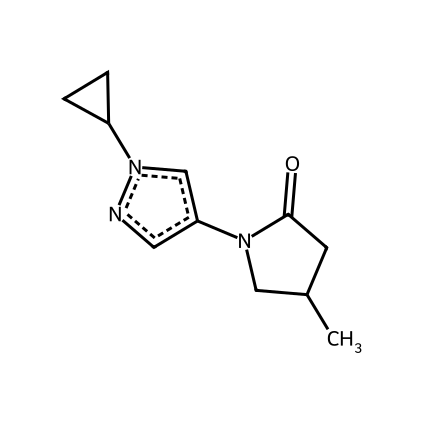 CC1CC(=O)N(c2cnn(C3CC3)c2)C1